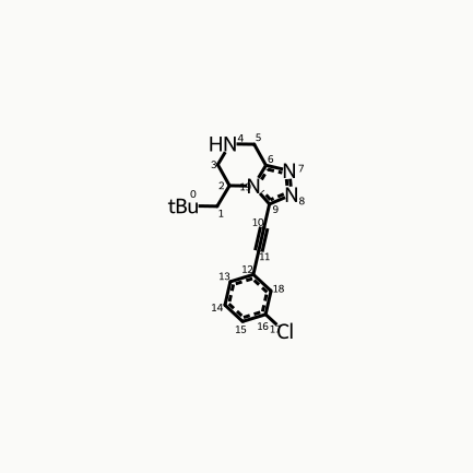 CC(C)(C)CC1CNCc2nnc(C#Cc3cccc(Cl)c3)n21